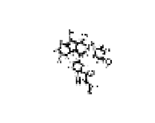 COc1ccc(Cn2cc(-c3cccc(C(=O)NC4CC4)c3)c3c([nH]c4ncc(C)cc43)c2=O)cc1